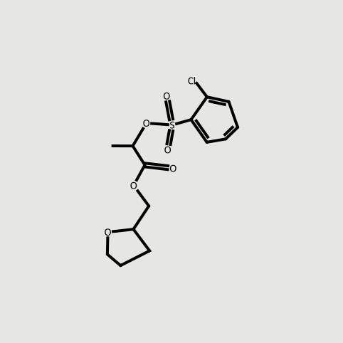 CC(OS(=O)(=O)c1ccccc1Cl)C(=O)OCC1CCCO1